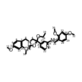 CCOC(CNCc1ccc(OC)cc1OC)(OCC)c1ccnc(NCc2ccc(OC)cc2OC)c1